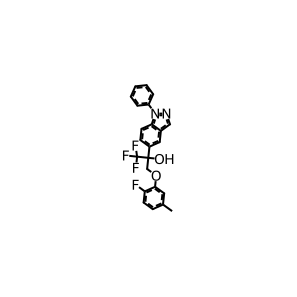 Cc1ccc(F)c(OCC(O)(c2ccc3c(cnn3-c3ccccc3)c2)C(F)(F)F)c1